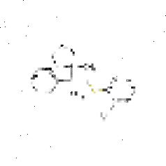 Cc1ccccc1SCC(C)(c1ccccc1)C1(C)CCCC1